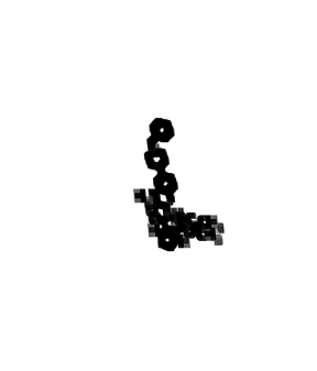 CC(C)(C)OC(=O)N1[C@@H]2CC[C@@H](C2)[C@H]1C(=O)N[C@@H](Cc1ccc(C2CCN(Cc3ccccc3)CC2)cc1)C(N)=O